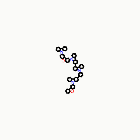 C1=CC2C3=C(C=CC(c4cccc(-n5c6ccccc6c6c(-c7ccc8c9ccccc9n(-c9ccc%10oc%11ccc(-n%12c%13c(c%14ccccc%14%12)C=CCC%13)cc%11c%10c9)c8c7)cccc65)c4)C3)N(c3ccc4oc5ccccc5c4c3)C2C=C1